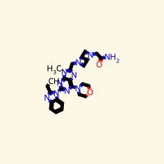 CCc1nc2ccccc2n1-c1nc(N2CCOCC2)c2nc(CN3CC4C3CN4CC(N)=O)n(C)c2n1